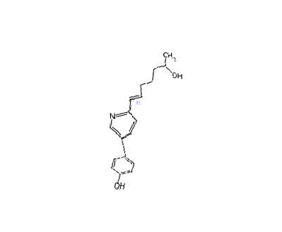 CC(O)CCC/C=C/c1ccc(-c2ccc(O)cc2)cn1